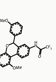 COc1cccc(C2Oc3cccc(OC)c3-c3ccc(NC(=O)C(F)(F)F)cc32)c1